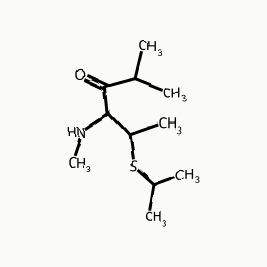 CNC(C(=O)C(C)C)C(C)SC(C)C